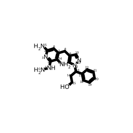 NNc1nc(N)cc(Cc2cnn(C(CCO)c3ccccc3)c2)c1N